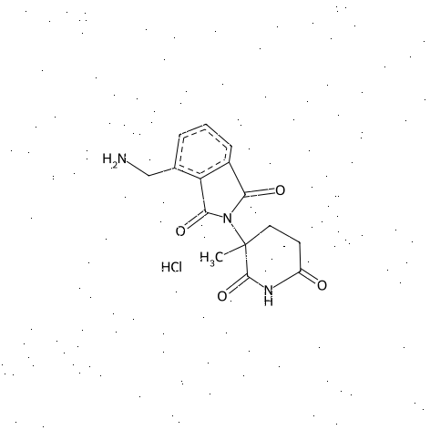 CC1(N2C(=O)c3cccc(CN)c3C2=O)CCC(=O)NC1=O.Cl